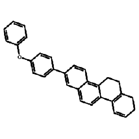 C1=CC2=C(CC1)CCc1c2ccc2cc(-c3ccc(Oc4ccccc4)cc3)ccc12